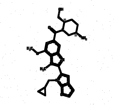 COc1cc(C(=O)N2C[C@H](N)CC[C@@H]2CO)cc2nc(-c3cc4ccoc4n3CC3CC3)n(C)c12